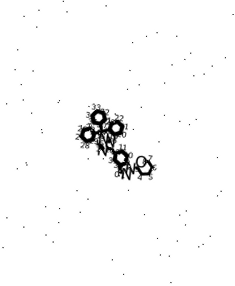 [c]1nn(C2CCCCO2)c2ccc(-c3ncn(C(c4ccccc4)(c4ccccc4)c4ccccc4)n3)cc12